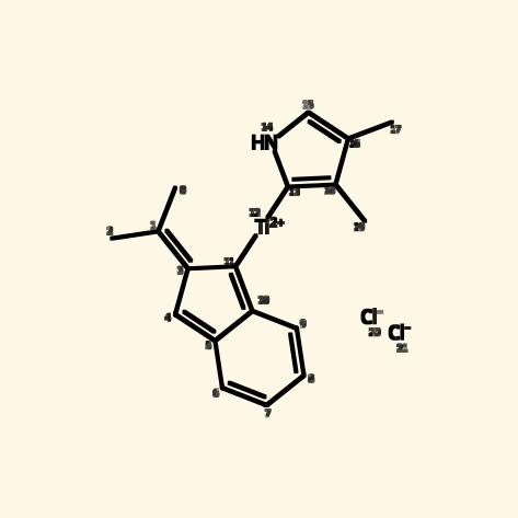 CC(C)=C1C=c2ccccc2=[C]1[Ti+2][c]1[nH]cc(C)c1C.[Cl-].[Cl-]